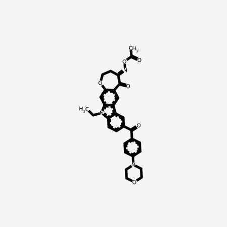 CCn1c2ccc(C(=O)c3ccc(N4CCOCC4)cc3)cc2c2cc3c(cc21)OCC/C(=N\OC(C)=O)C3=O